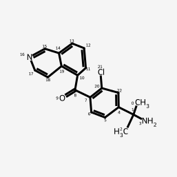 CC(C)(N)c1ccc(C(=O)c2cccc3cnccc23)c(Cl)c1